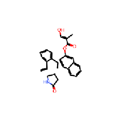 C=Cc1ccccc1CC.CC(=CO)C(=O)Oc1ccc2ccccc2c1.O=C1CCCN1